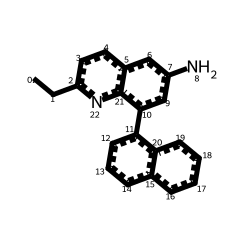 [CH2]Cc1ccc2cc(N)cc(-c3cccc4ccccc34)c2n1